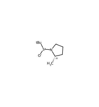 C[C@H]1CCCN1[S+]([O-])C(C)(C)C